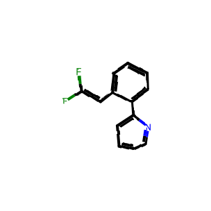 FC(F)=Cc1ccccc1-c1ccccn1